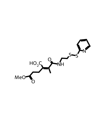 COC(=O)CC/C(C(=O)O)=C(\C)C(=O)NCCSSc1ccccn1